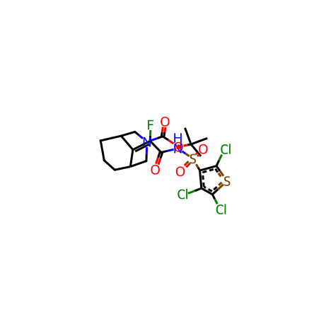 CC(C)(C)OC(=O)N1CC2CCCC(C1)C2=C(F)C(=O)NS(=O)(=O)c1c(Cl)sc(Cl)c1Cl